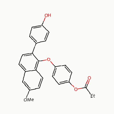 CCC(=O)Oc1ccc(Oc2c(-c3ccc(O)cc3)ccc3cc(OC)ccc23)cc1